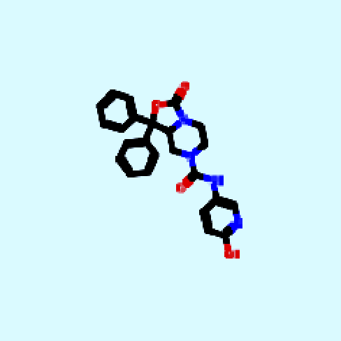 O=C(Nc1ccc(O)nc1)N1CCN2C(=O)OC(c3ccccc3)(c3ccccc3)C2C1